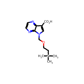 C[Si](C)(C)CCOCn1cc(C(=O)O)c2nccnc21